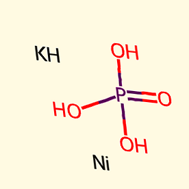 O=P(O)(O)O.[KH].[Ni]